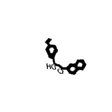 C=Cc1ccc(C(O)=CC(=O)c2ccc3ccccc3c2)cc1